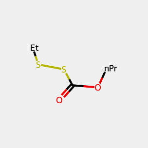 [CH2]CCOC(=O)SSCC